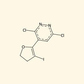 Clc1cc(C2=C(I)CCO2)c(Cl)nn1